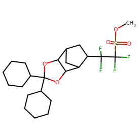 COS(=O)(=O)C(F)(F)C(F)(F)C1CC2CC1C1OC(C3CCCCC3)(C3CCCCC3)OC21